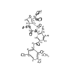 COc1c(Cl)cc(Cl)cc1COc1ccc(F)c(-n2c(=O)[nH]c3csc(C(=O)O)c3c2=O)c1